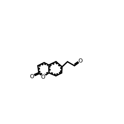 O=CCc1ccc2oc(=O)ccc2c1